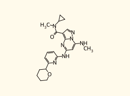 CNc1cc(Nc2cccc(C3CCCCO3)n2)nc2c(C(=O)N(C)C3CC3)cnn12